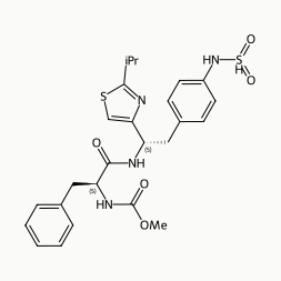 COC(=O)N[C@@H](Cc1ccccc1)C(=O)N[C@@H](Cc1ccc(N[SH](=O)=O)cc1)c1csc(C(C)C)n1